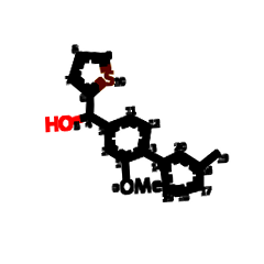 COc1cc(C(O)c2cccs2)ccc1-c1cccc(C)c1